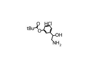 CC(C)(C)C(=O)Oc1cccc(C(O)CN)c1.Cl